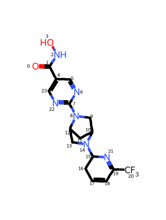 O=C(NO)c1cnc(N2CC3CC2CN3C2CC=CC(C(F)(F)F)=N2)nc1